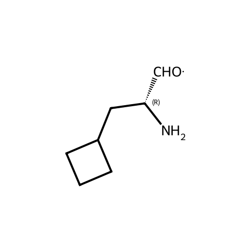 N[C@@H]([C]=O)CC1CCC1